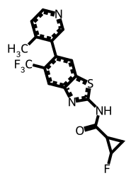 Cc1ccncc1-c1cc2sc(NC(=O)C3CC3F)nc2cc1C(F)(F)F